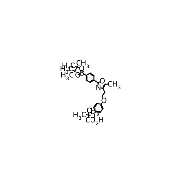 Cc1oc(-c2ccc(B3OC(C)(C)C(C)(C)O3)cc2)nc1CCOc1ccc(OC(C)(C)C(=O)O)cc1